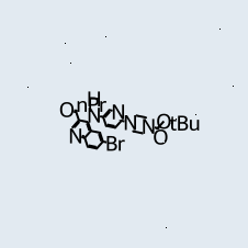 CCCC(=O)c1cnc2ccc(Br)cc2c1Nc1ccc(N2CCN(C(=O)OC(C)(C)C)CC2)nc1